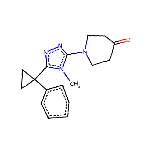 Cn1c(N2CCC(=O)CC2)nnc1C1(c2ccccc2)CC1